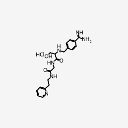 Cl.N=C(N)c1ccc(CNC(CO)C(=O)NCC(=O)NCCc2ccccn2)cc1